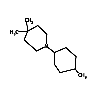 CC1CCC(N2CCC(C)(C)CC2)CC1